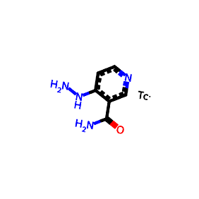 NNc1ccncc1C(N)=O.[Tc]